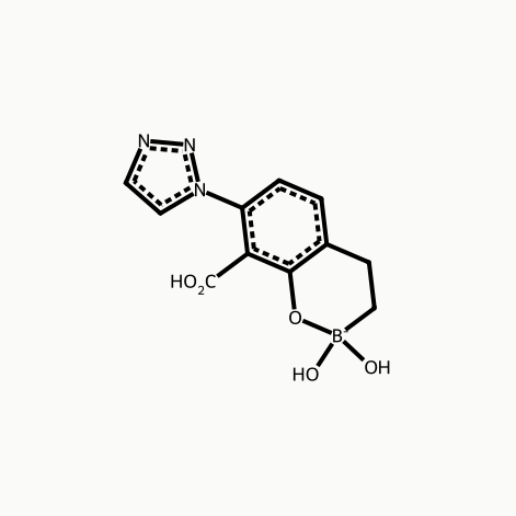 O=C(O)c1c(-n2ccnn2)ccc2c1O[B-](O)(O)CC2